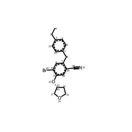 CCc1ccc(Cc2cc(Br)c(O[C@@H]3CCOC3)cc2C#N)cc1